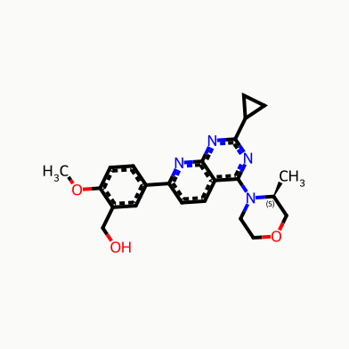 COc1ccc(-c2ccc3c(N4CCOC[C@@H]4C)nc(C4CC4)nc3n2)cc1CO